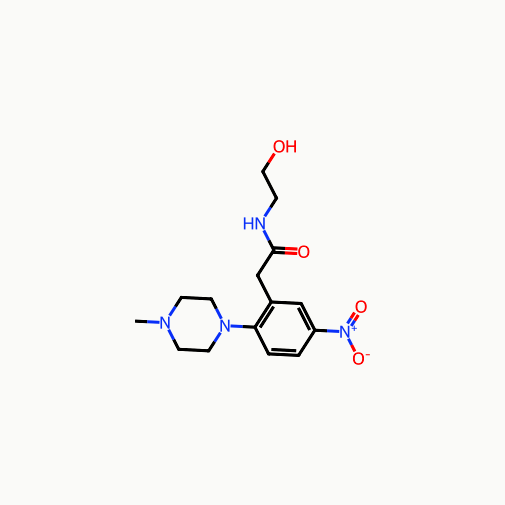 CN1CCN(c2ccc([N+](=O)[O-])cc2CC(=O)NCCO)CC1